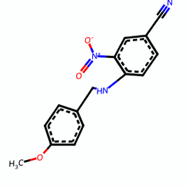 COc1ccc(CNc2ccc(C#N)cc2[N+](=O)[O-])cc1